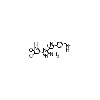 CNCc1ccc(-c2cc(-c3nc(-c4c[nH]c(=O)c(Cl)c4)cnc3N)on2)cc1